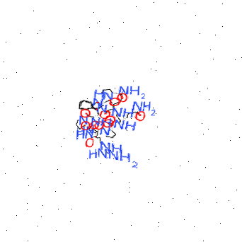 CC[C@H](C)[C@H](NC(=O)[C@H](CCC(N)=O)NC(=O)[C@@H]1CCCN1C(=O)[C@H](CCCNC(=N)N)NC(=O)[C@@H]1CCCN1C(=O)[C@H](Cc1c[nH]c2ccccc12)NC(=O)[C@@H]1CCC(=O)N1)C(=O)N1CCC[C@H]1C(=O)N1CCC[C@H]1C(N)=O